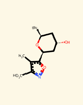 Cc1c(C(=O)O)noc1[C@@H]1C[C@@H](O)C[C@H](C(C)(C)C)O1